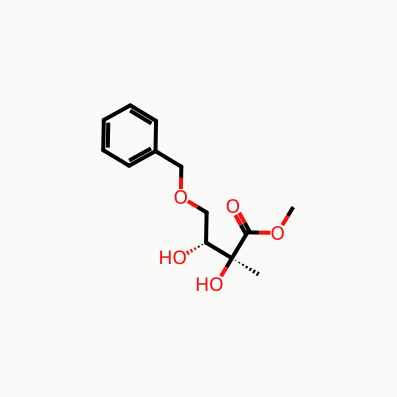 COC(=O)[C@@](C)(O)[C@H](O)COCc1ccccc1